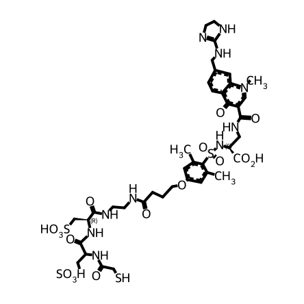 Cc1cc(OCCCC(=O)NCCNC(=O)[C@H](CS(=O)(=O)O)NC(=O)C(CS(=O)(=O)O)NC(=O)CS)cc(C)c1S(=O)(=O)N[C@@H](CNC(=O)c1cn(C)c2cc(CNC3=NCCN3)ccc2c1=O)C(=O)O